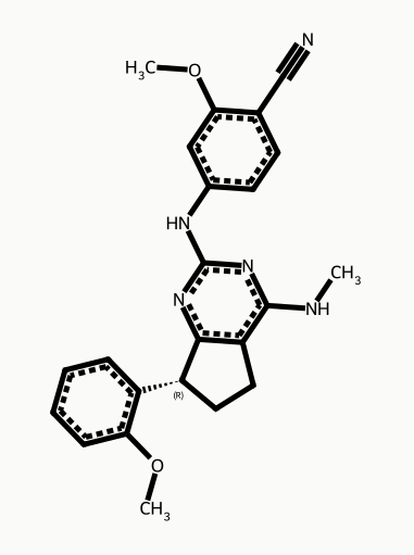 CNc1nc(Nc2ccc(C#N)c(OC)c2)nc2c1CC[C@@H]2c1ccccc1OC